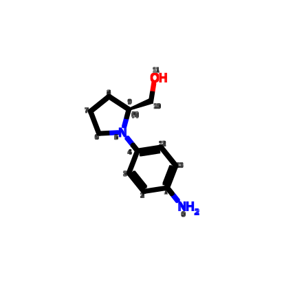 Nc1ccc(N2CCC[C@H]2CO)cc1